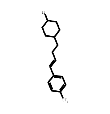 CCC1CCC(CCC=Cc2ccc(C(F)(F)F)cc2)CC1